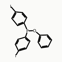 Ic1ccc(P(Oc2ccccc2)c2ccc(I)cc2)cc1